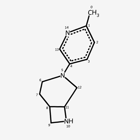 Cc1ccc(N2CCC3CNC3C2)cn1